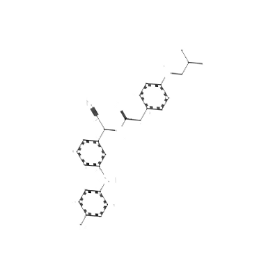 CC(C)COc1ccc(CC(=O)OC(C#N)c2cccc(Nc3ccc(Cl)cc3)c2)cc1